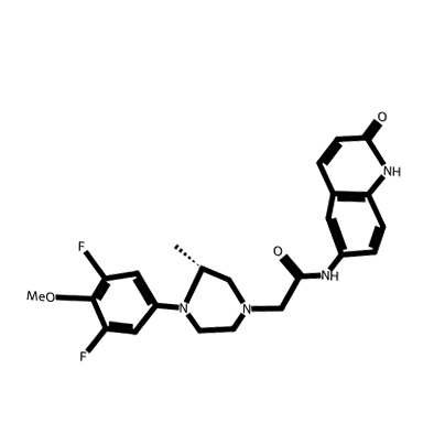 COc1c(F)cc(N2CCN(CC(=O)Nc3ccc4[nH]c(=O)ccc4c3)C[C@H]2C)cc1F